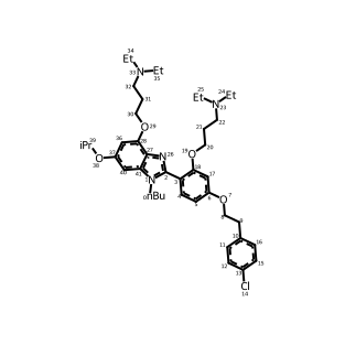 CCCCn1c(-c2ccc(OCCc3ccc(Cl)cc3)cc2OCCCN(CC)CC)nc2c(OCCCN(CC)CC)cc(OC(C)C)cc21